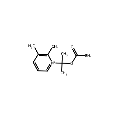 BC(=O)OC(C)(C)[n+]1cccc(C)c1C